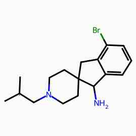 C[C](C)CN1CCC2(CC1)Cc1c(Br)cccc1C2N